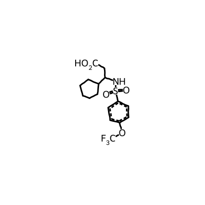 O=C(O)CC(NS(=O)(=O)c1ccc(OC(F)(F)F)cc1)C1CCCCC1